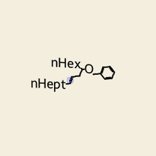 [CH2]CCCCCC/C=C/CC(CCCCCC)OCc1ccccc1